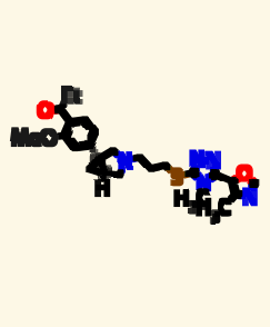 CCC(=O)c1ccc([C@@]23C[C@H]2CN(CCCSc2nnc(-c4ocnc4C)n2C)C3)cc1OC